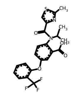 Cc1nc(C(=O)N(c2ccc(Oc3ccccc3C(F)(F)F)cc2C(=O)O)C(C)C)cs1